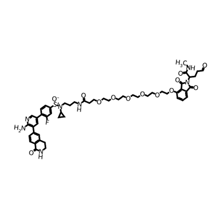 CNC(=O)C(CCC=O)N1C(=O)c2cccc(OCCOCCOCCOCCOCCOCCC(=O)NCCCN(C3CC3)[S+]([O-])c3ccc(-c4cnc(N)c(-c5ccc6c(c5)CCNC6=O)c4)c(F)c3)c2C1=O